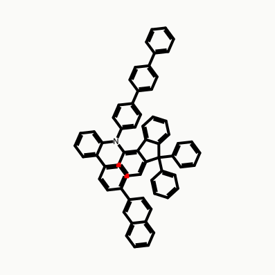 c1ccc(-c2ccc(-c3ccc(N(c4ccccc4-c4ccc(-c5ccc6ccccc6c5)cc4)c4cccc5c4-c4ccccc4C5(c4ccccc4)c4ccccc4)cc3)cc2)cc1